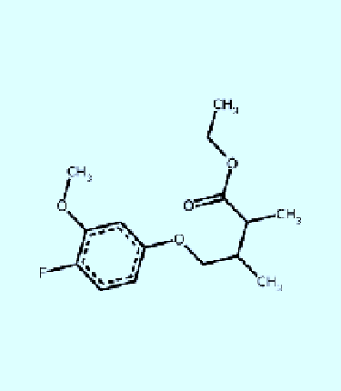 CCOC(=O)C(C)C(C)COc1ccc(F)c(OC)c1